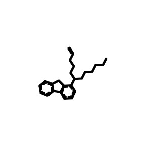 C=CCCCC(CCCCCC)c1cccc2c1Cc1ccccc1-2